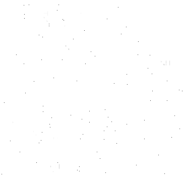 O=C(O)CS(=O)(=O)c1ccc(C2CNC(=O)N2c2ccc3c(c2)CCNCC3)cc1